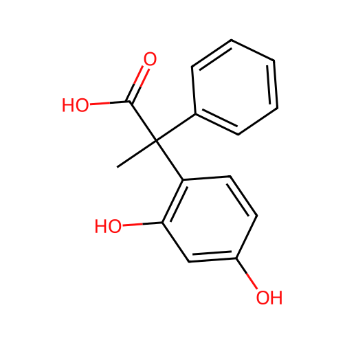 CC(C(=O)O)(c1ccccc1)c1ccc(O)cc1O